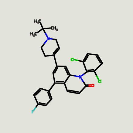 CC(C)(C)N1CC=C(c2cc(-c3ccc(F)cc3)c3ccc(=O)n(-c4c(Cl)cccc4Cl)c3c2)CC1